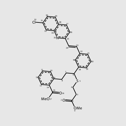 COC(=O)CCSC(CCc1ccccc1C(=O)OC)c1cccc(/C=C/c2ccc3ccc(Cl)cc3n2)c1